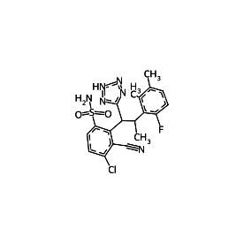 Cc1ccc(F)c(C(C)C(c2nn[nH]n2)c2c(S(N)(=O)=O)ccc(Cl)c2C#N)c1C